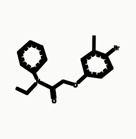 CCN(C(=O)COc1ccc(Br)c(C)c1)c1ccccc1